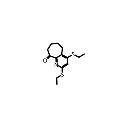 CCSc1cc(SCC)c2c(n1)C(=O)CCCC2